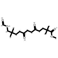 COC(=O)C(C)(C)CCC(=O)CCC(=O)CCC(C)(C)COC=O